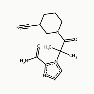 CC(C)(C(=O)N1CCCC(C#N)C1)n1c[c]nc1C(N)=O